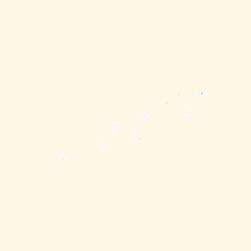 CN(C(=O)O)C1CCCN(c2cnc3nc(Sc4ccnc(N)c4Cl)ccc3n2)CC1